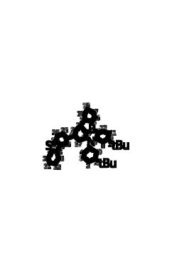 CC(C)(C)c1cccc(N2c3cc(C(C)(C)C)ccc3B3c4ccccc4-c4cc(-c5ccc6sc7ccccc7c6c5)cc2c43)c1